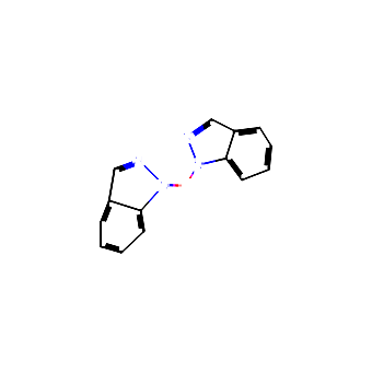 c1ccc2c(c1)cnn2On1ncc2ccccc21